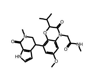 CNC(=O)CN1C(=O)C(C(C)C)Oc2c(C3CN(C)C(=O)c4[nH]ccc43)cc(OC)cc21